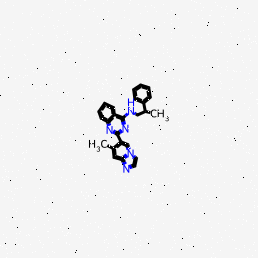 Cc1cc2nccn2cc1-c1nc(NCC(C)c2ccccc2)c2ccccc2n1